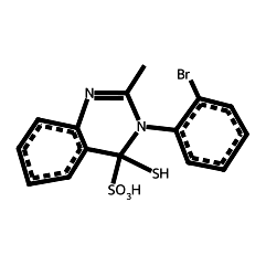 CC1=Nc2ccccc2C(S)(S(=O)(=O)O)N1c1ccccc1Br